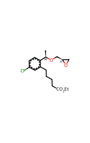 CCOC(=O)CCCCc1cc(Cl)ccc1[C@@H](C)OC[C@H]1CO1